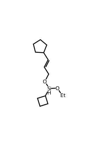 CCO[SiH](OCC=CC1CCCC1)C1CCC1